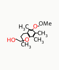 COCOc1c(C)c(C)c2c(c1C)CCC(C)(CCO)O2